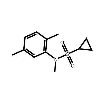 Cc1ccc(C)c(N(C)S(=O)(=O)C2CC2)c1